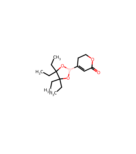 CCC1(CC)OB(C2=CC(=O)OCC2)OC1(CC)CC